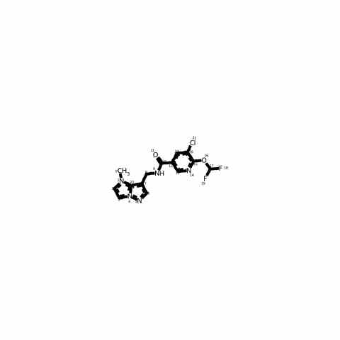 Cn1ccn2ncc(CNC(=O)c3cnc(OC(F)F)c(Cl)c3)c12